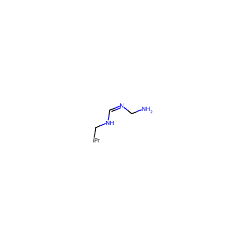 CC(C)CN/C=N\CN